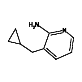 Nc1ncccc1CC1CC1